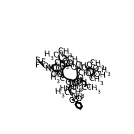 CO[C@@H]1[C@H](O)[C@@H](C)O[C@@H](OCC(C)C2OC(=O)C(C)C(O[C@H]3CC(C)N(C)C[C@H](C)O3)C(C)C(O[C@@H]3O[C@H](C)CC(=NOCC(F)(F)F)[C@H]3O)C(C)CC(C)(OC(=O)NC(C)(C)CNS(=O)(=O)c3ccccc3)C(=O)C(C)C(OC(=O)CC(C)C)C2C)[C@@H]1OC